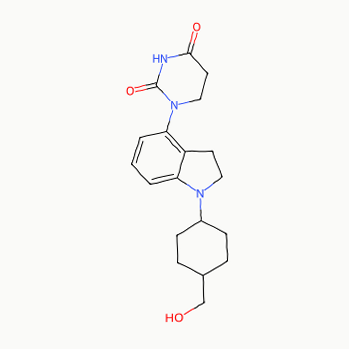 O=C1CCN(c2cccc3c2CCN3C2CCC(CO)CC2)C(=O)N1